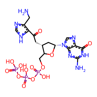 NCc1nc[nH]c1C(=O)C[C@@H]1C[C@H](n2cnc3c(=O)[nH]c(N)nc32)OC1COP(=O)(O)OP(=O)(O)OP(=O)(O)O